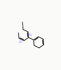 C/C=C\C(=C/CI)C1=CC=CCC1